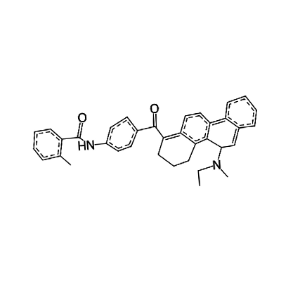 CCN(C)C1C=c2ccccc2=c2ccc3c(c21)CCCC=3C(=O)c1ccc(NC(=O)c2ccccc2C)cc1